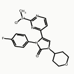 C[S+]([O-])c1nccc(-c2cn(C3CCOCC3)c(=O)n2-c2ccc(F)cc2)n1